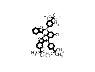 CC(C)(C)c1ccc(N2c3cc(Cl)cc4c3B(c3sc5ccc(C(C)(C)C)cc5c3N4c3ccc(C(C)(C)C)cc3)c3c2oc2ccccc32)cc1